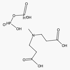 CN(CCC(=O)O)CCC(=O)O.O=[PH](O)O[PH](=O)O